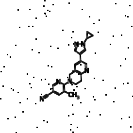 Cc1cc(C#N)cnc1N1CCc2ncc(-c3cnn(C4CC4)c3)cc2C1